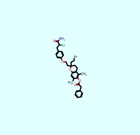 Cc1cc2c(c(C)c1OC(=O)Cc1ccccc1)CCC(CCOc1ccc(CC(Cl)C(N)=O)cc1)(CCC(C)C)O2